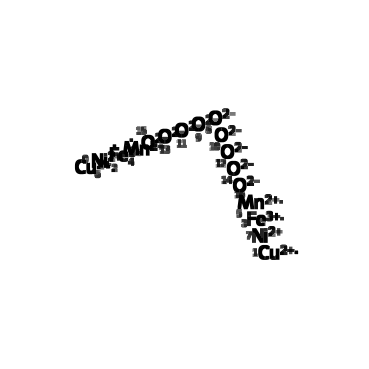 [Cu+2].[Cu+2].[Fe+3].[Fe+3].[Mn+2].[Mn+2].[Ni+2].[Ni+2].[O-2].[O-2].[O-2].[O-2].[O-2].[O-2].[O-2].[O-2].[O-2]